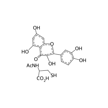 CC(=O)NC(CS)C(=O)O.O=c1c(O)c(-c2ccc(O)c(O)c2)oc2cc(O)cc(O)c12